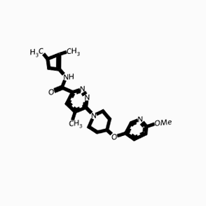 COc1ccc(OC2CCN(c3nnc(C(=O)NC4=C(C)C(C)C4)cc3C)CC2)cn1